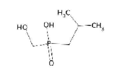 CC(C)CP(=O)(O)CO